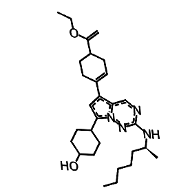 C=C(OCC)C1CC=C(c2cc(C3CCC(O)CC3)n3nc(N[C@@H](C)CCCCC)ncc23)CC1